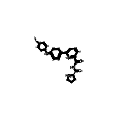 O=C(NC(=O)[C@@H]1CCCN1)c1cccc(-c2ccc(Oc3ccc(F)cc3)cc2)n1